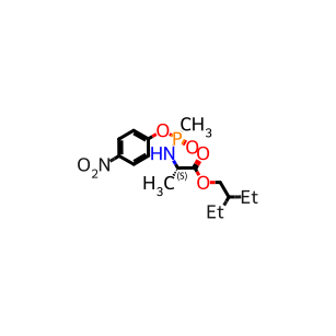 CCC(CC)COC(=O)[C@H](C)NP(C)(=O)Oc1ccc([N+](=O)[O-])cc1